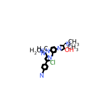 C=N/N=C1/c2cc(-c3ccc(C#N)cc3)c(Cl)n2Cc2cc(N3C[C@@H](CN(C)C)[C@@H](O)C3)ccc2N1C